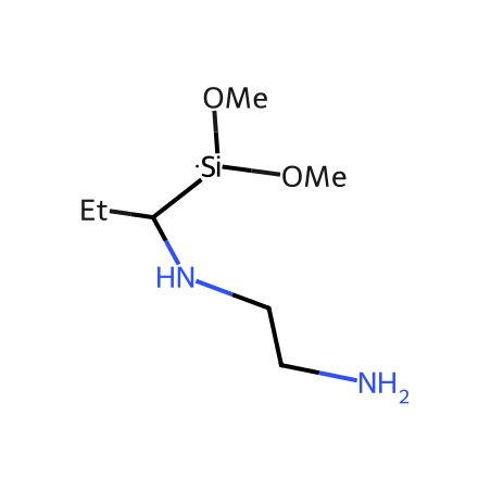 CCC(NCCN)[Si](OC)OC